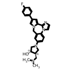 CN(C)C[C@@H]1CN(c2ccc3c(c2)Cn2cc(-c4ccc(F)cc4)cc2-c2nccn2-3)C[C@H]1O